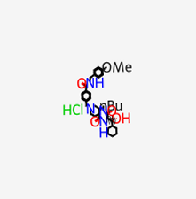 CCCCN1C(=O)[C@@H]([C@H](O)C2CCCCC2)NC(=O)C12CCN(Cc1ccc(C(=O)NCc3ccc(OC)cc3)cc1)CC2.Cl